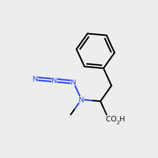 CN(N=[N+]=[N-])C(Cc1ccccc1)C(=O)O